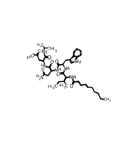 CCCCCCCCCC(=O)NC(C(=O)NC(Cc1c[nH]c2ccccc12)C(=O)NC(CC(N)=O)C(=O)NC(CC(=O)O)C(=O)NC(C)C)C(C)CC